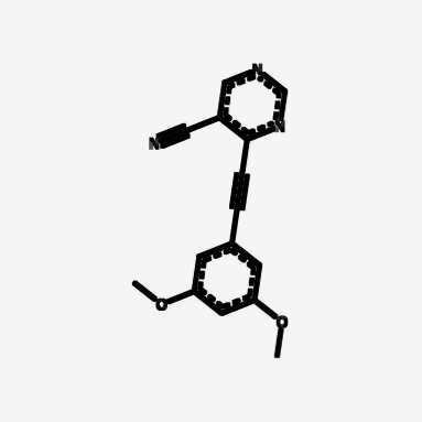 COc1cc(C#Cc2ncncc2C#N)cc(OC)c1